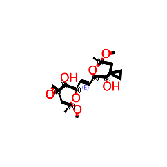 CO[C@]1(C)CC2(CC2)[C@H](O)[C@@H](/C=C/[C@H]2O[C@](C)(OC)C[C@@]3(CO3)[C@@H]2O)O1